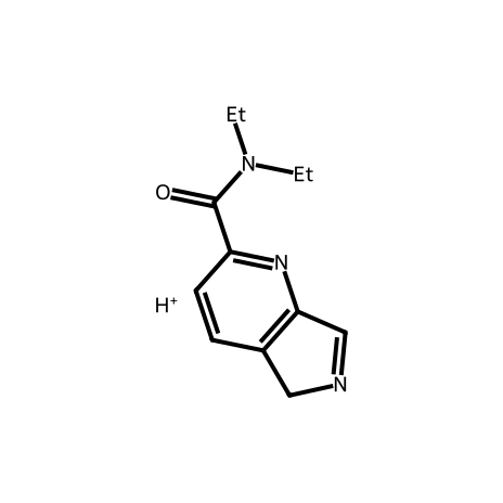 CCN(CC)C(=O)c1ccc2c(n1)C=NC2.[H+]